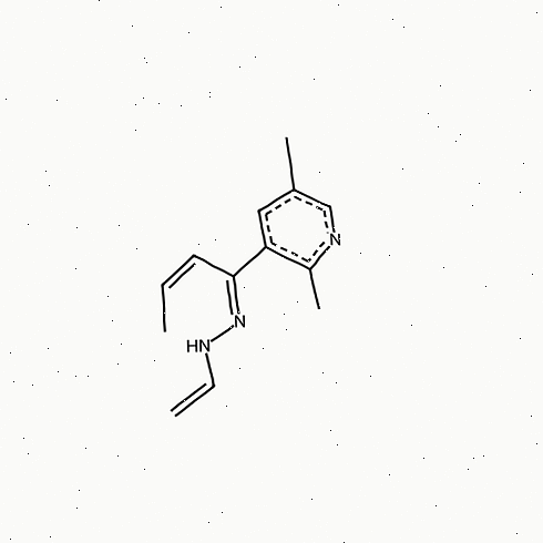 C=CN/N=C(\C=C/C)c1cc(C)cnc1C